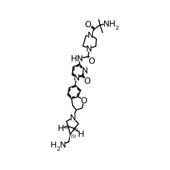 CC(C)(N)C(=O)N1CCN(C(=O)Nc2ccn(-c3ccc4c(c3)OCC(N3C[C@@H]5[C@@H](CN)[C@@H]5C3)C4)c(=O)n2)CC1